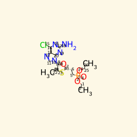 CCOP(=O)(CC[C@H]1O[C@@H](n2cnc3c(Cl)nc(N)nc32)[C@@H](C)S1)OCC